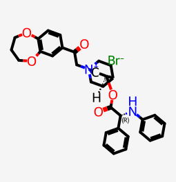 O=C(C[N+]12CCC(CC1)[C@@H](OC(=O)[C@H](Nc1ccccc1)c1ccccc1)C2)c1ccc2c(c1)OCCCO2.[Br-]